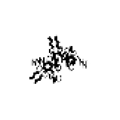 CCCCOC1C(N=[N+]=[N-])[C@@H](O[C@@H]2C(C(=O)OC)O[C@@H](OC3[C@@H](OC(C)=O)[C@H](N=[N+]=[N-])C4OC[C@H]3O4)[C@@H](OCCCC)C2OCCCC)CC(COC(C)=O)[C@H]1OCCCC